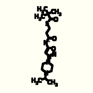 CC(C)N1CCN([n+]2cc([N-]C(=O)CCSC(=O)C(C)(C)C)on2)CC1